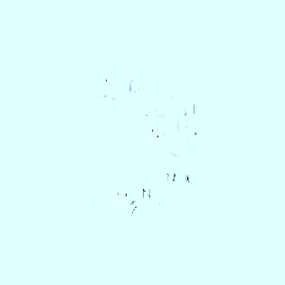 CCCOC(=O)N1CCN(C(=O)c2ccc3c(Cl)c4c(nc3c2)CC(c2ccccc2)CC4)CC1